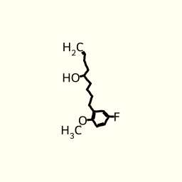 C=CCCC(O)CCCCc1cc(F)ccc1OC